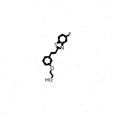 OCCOc1cccc(C=Cc2nc3cc(F)ccc3s2)c1